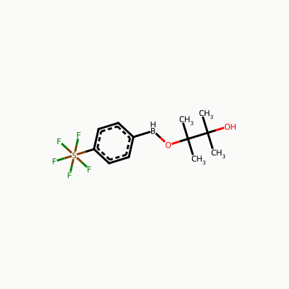 CC(C)(O)C(C)(C)OBc1ccc(S(F)(F)(F)(F)F)cc1